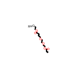 C=CC(=O)OCCOCCOCC=CC(=O)OCCOC